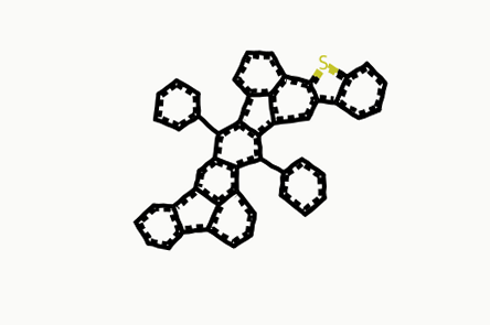 c1ccc(-c2c3cc4c5ccccc5c5cccc(c3c(-c3ccccc3)c3c6cc7c8ccccc8sc7c7cccc(c23)c76)c54)cc1